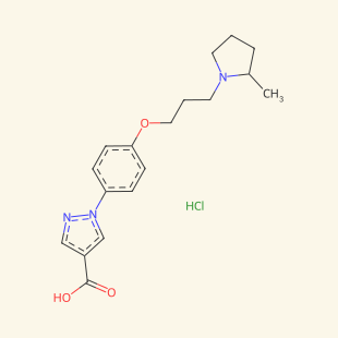 CC1CCCN1CCCOc1ccc(-n2cc(C(=O)O)cn2)cc1.Cl